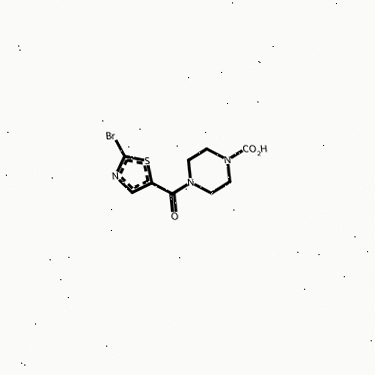 O=C(O)N1CCN(C(=O)c2cnc(Br)s2)CC1